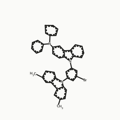 Cc1ccc2c(c1)c1cc(C)ccc1n2-c1cc(Br)cc(-n2c3ccccc3c3cc(N(c4ccccc4)c4ccccc4)ccc32)c1